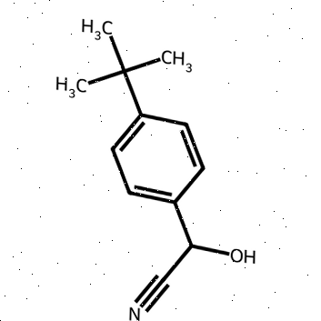 CC(C)(C)c1ccc(C(O)C#N)cc1